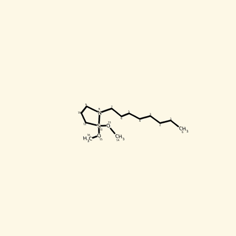 CCCCCCCCN1CCC[Si]1(OC)OC